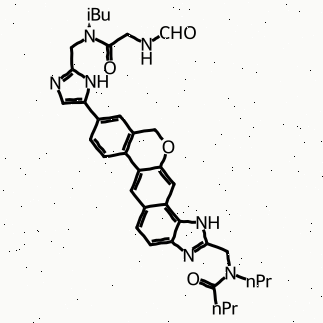 CCCC(=O)N(CCC)Cc1nc2ccc3cc4c(cc3c2[nH]1)OCc1cc(-c2cnc(CN(C(=O)CNC=O)[C@@H](C)CC)[nH]2)ccc1-4